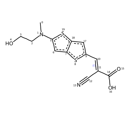 CN(CCO)c1cc2sc(/C=C(\C#N)C(=O)O)cc2s1